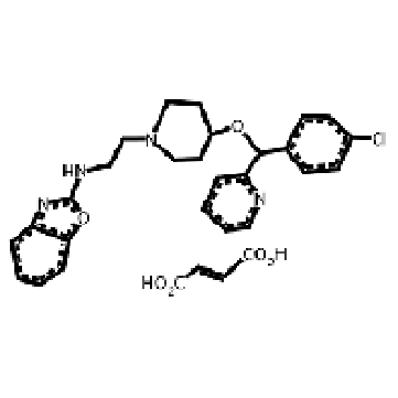 Clc1ccc(C(OC2CCN(CCNc3nc4ccccc4o3)CC2)c2ccccn2)cc1.O=C(O)C=CC(=O)O